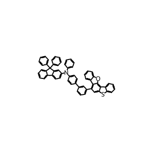 c1ccc(N(c2ccc(-c3cccc(-c4cc5sc6ccccc6c5c5oc6ccccc6c45)c3)cc2)c2ccc3c(c2)C(c2ccccc2)(c2ccccc2)c2ccccc2-3)cc1